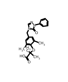 Cc1cc(Cn2cnn(-c3ccccc3)c2=O)cc(C)c1OC(C)(C)C(=O)O